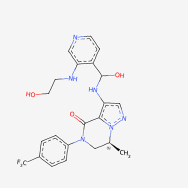 C[C@H]1CN(c2ccc(C(F)(F)F)cc2)C(=O)c2c(NC(O)c3ccncc3NCCO)cnn21